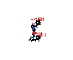 Oc1ccc(CC2CCCN2CCOCCN2CCCC2Cc2ccc(O)c(O)c2)cc1O